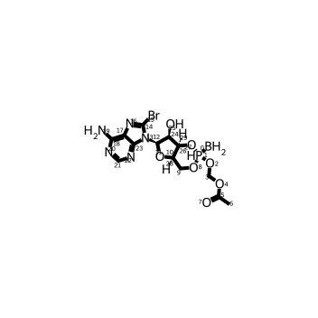 B[PH]1(OCOC(C)=O)OC[C@H]2O[C@@H](n3c(Br)nc4c(N)ncnc43)[C@@H](O)[C@H]2O1